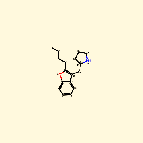 CCCCc1oc2ccccc2c1C[C@@H]1CCCN1